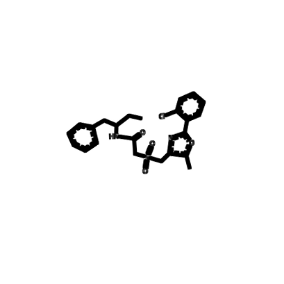 CCC(Cc1ccccc1)NC(=O)CS(=O)(=O)Cc1nc(-c2ccccc2Cl)oc1C